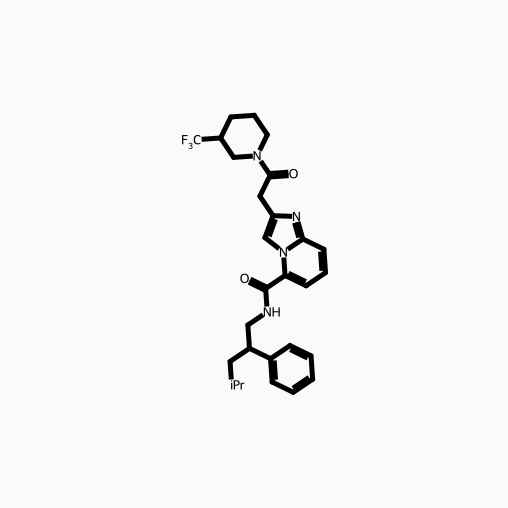 CC(C)CC(CNC(=O)c1cccc2nc(CC(=O)N3CCCC(C(F)(F)F)C3)cn12)c1ccccc1